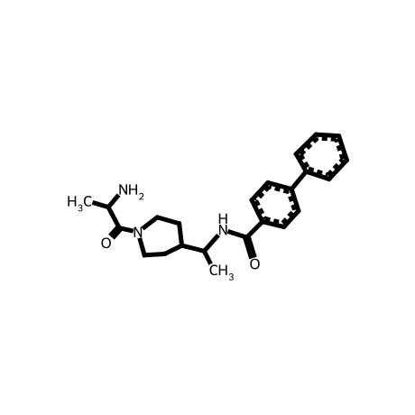 CC(N)C(=O)N1CCC(C(C)NC(=O)c2ccc(-c3ccccc3)cc2)CC1